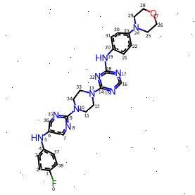 Fc1ccc(Nc2cnc(N3CCN(c4ncnc(Nc5ccc(N6CCOCC6)cc5)n4)CC3)nc2)cc1